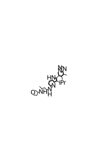 Cc1c(-c2[nH]c3ccc(N[C@H](C)CC(C)NC4CCOC4)nc3c2C(C)C)cn2ncnc2c1C